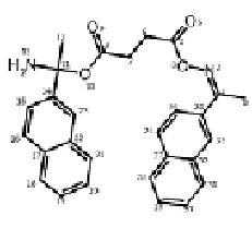 CC(=NOC(=O)CCC(=O)OC(C)(N)c1ccc2ccccc2c1)c1ccc2ccccc2c1